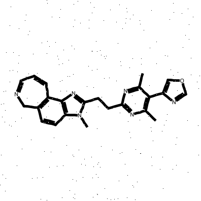 Cc1nc(CCc2nc3c4c(ccc3n2C)CN=CC=C4)nc(C)c1-c1cocn1